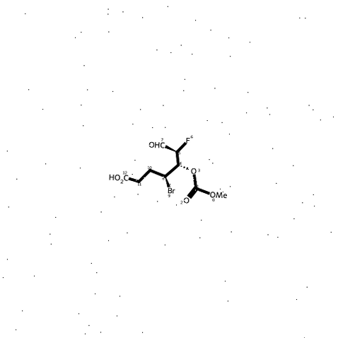 COC(=O)O[C@@H]([C@H](F)C=O)[C@@H](Br)CCC(=O)O